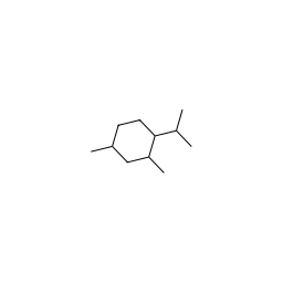 CC1CCC(C(C)C)C(C)C1